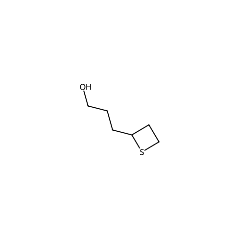 OCCCC1CCS1